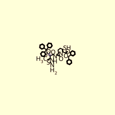 Cc1sc(N)nc1/C(=N/OC(c1ccccc1)(c1ccccc1)c1ccccc1)C(=O)N[C@H]1C(=O)N2C(C(=O)OC(c3ccccc3)c3ccccc3)=C(S)CCC12